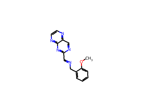 COc1ccccc1C/N=C/c1ncc2nccnc2n1